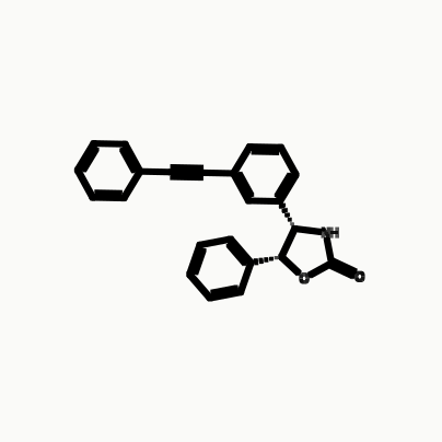 O=C1N[C@@H](c2cccc(C#Cc3ccccc3)c2)[C@@H](c2ccccc2)O1